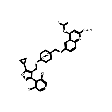 O=C(O)c1cc(OC(F)F)c2cc(OCC34CCC(OCc5c(-c6c(Cl)cncc6Cl)noc5C5CC5)(CC3)CC4)ccc2n1